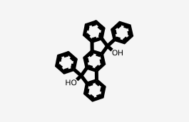 OC1(c2ccccc2)c2ccccc2-c2cc3c(cc21)-c1ccccc1C3(O)c1ccccc1